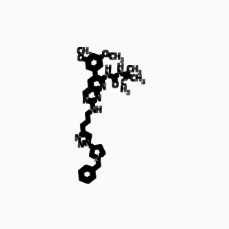 COc1cc(OC)cc(-c2cc3cnc(NCCCc4cn(C5CCN(Cc6ccccc6)C5)nn4)nc3nc2NC(=O)NC(C)(C)C)c1